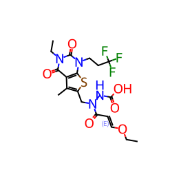 CCO/C=C/C(=O)N(Cc1sc2c(c1C)c(=O)n(CC)c(=O)n2CCC(F)(F)F)NC(=O)O